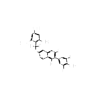 Cc1cc(C)c(C(F)(F)Oc2ccc3c(F)c(-c4cc(F)c(C)c(F)c4)c(F)cc3c2)c(C)c1